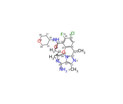 Cc1nc(C(C)c2cc(Cl)c(F)c(C(=O)NC3CCOCC3)c2OC(C)C)n2ccnc(N)c12